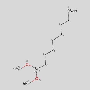 CCCCCCCCCCCCCCCC[SiH](OCCC)OCCC